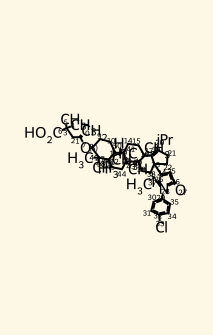 C=C(CC(C)(C)C(=O)O)O[C@H]1CCC2(C)[C@H]3CCC4(C)C5=C(C(C)C)CCC5(c5cc(=O)n(-c6ccc(Cl)cc6)n5C)CC[C@@]4(C)C3(C)CC[C@H]2C1(C)C